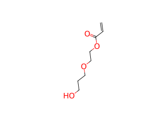 C=CC(=O)OCCOCCCO